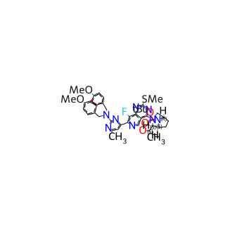 COc1ccc(CN(Cc2ccc(OC)cc2)c2nc(C)cc(-c3nc4c5c(nc(SC)nc5c3F)N3C[C@H]5CC[C@@H]([C@H]3[C@H](C)O4)N5C(=O)OC(C)(C)C)n2)cc1